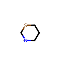 C1C[N]CSC1